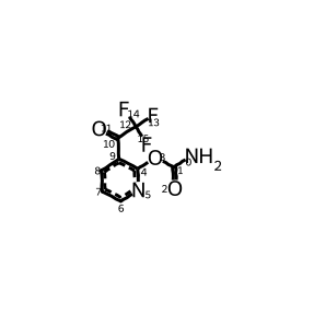 NC(=O)Oc1ncccc1C(=O)C(F)(F)F